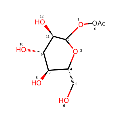 CC(=O)OOC1O[C@H](CO)[C@@H](O)[C@H](O)[C@H]1O